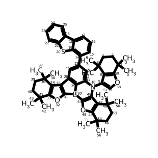 CC1(C)CCC(C)(C)c2c(N3c4cc(-c5cccc6c5sc5ccccc56)cc5c4B(c4oc6c(c4-5)C(C)(C)CCC6(C)C)c4oc5c(c43)C(C)(C)CCC5(C)C)coc21